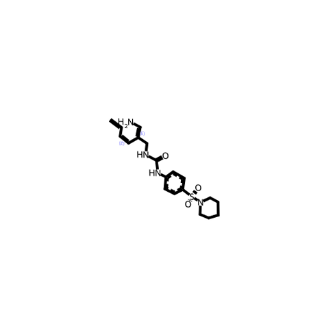 C=C/C=C\C(=C/N)CNC(=O)Nc1ccc(S(=O)(=O)N2CCCCC2)cc1